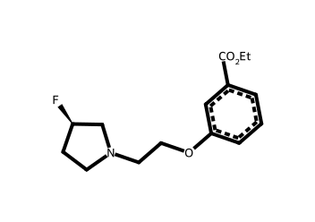 CCOC(=O)c1cccc(OCCN2CC[C@@H](F)C2)c1